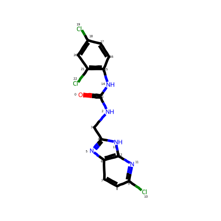 O=C(NCc1nc2ccc(Cl)nc2[nH]1)Nc1ccc(Cl)cc1Cl